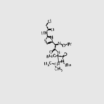 COC1(NC(=O)C(=NOC(C)C)c2csc(NC(=O)CCl)n2)C(=O)N(C(C)(C)C)C1[SiH](C)C